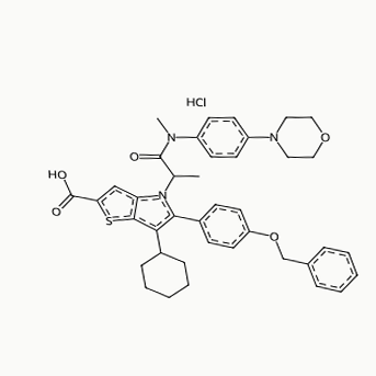 CC(C(=O)N(C)c1ccc(N2CCOCC2)cc1)n1c(-c2ccc(OCc3ccccc3)cc2)c(C2CCCCC2)c2sc(C(=O)O)cc21.Cl